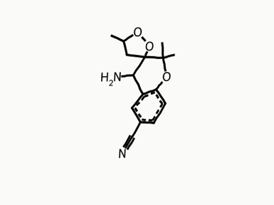 CC1CC2(OO1)C(N)c1cc(C#N)ccc1OC2(C)C